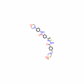 O=C(Nc1ccc(N2CCOCC2)cc1)c1ccc(-c2csc(NC(=O)c3ccc(CN4CCS(=O)(=O)CC4)cc3)n2)cc1